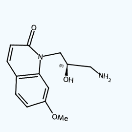 COc1ccc2ccc(=O)n(C[C@H](O)CN)c2c1